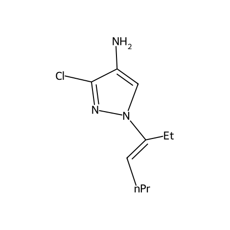 CCC/C=C(\CC)n1cc(N)c(Cl)n1